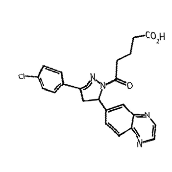 O=C(O)CCCC(=O)N1N=C(c2ccc(Cl)cc2)CC1c1ccc2nccnc2c1